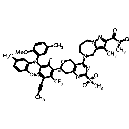 CC#Cc1cc(N(c2cc(C)ccc2OC)c2cc(C)ccc2OC)c(F)c([C@@H]2Cc3nc(S(C)(=O)=O)nc(N4CCCn5nc(C(=O)N(C)C)c(C)c5C4)c3CO2)c1C(F)(F)F